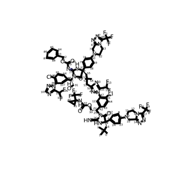 CC(C)(C)C[C@]1(c2ccc(N3CCn4c(nnc4C(F)(F)F)C3)cc2)NC(=N)N([C@H](COC(=O)NC2(C(F)(F)F)CC2)c2ccc(Cl)c(-n3nc(CC(C)(C)C[C@]4(c5ccc(N6CCn7c(nnc7C(F)(F)F)C6)cc5)N/C(=N\C(=O)OCc5ccccc5)N([C@H](CO)c5ccc(Cl)c(-n6ncnc6C(F)F)c5)C4=O)nc3C(F)F)c2)C1=O